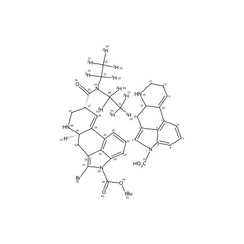 O=C(O)n1cc2c3c(cccc31)C1=CCCNC1C2.[2H]C([2H])([2H])C([2H])([2H])N(C(=O)[C@@H]1C=C2c3cccc4c3c(c(Br)n4C(=O)OC(C)(C)C)C[C@H]2NC1)C([2H])([2H])C([2H])([2H])[2H]